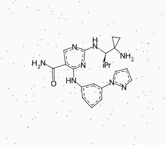 CC(C)[C@@H](Nc1ncc(C(N)=O)c(Nc2cccc(-n3cccn3)c2)n1)C1(N)CC1